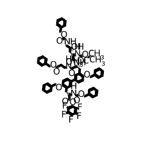 CC(C)(C)OC(=O)N[C@@H](C[C@@H](O)CNC(=O)OCc1ccccc1)C(=O)N[C@@H](Cc1cc(-c2ccc(OCc3ccccc3)c(C[C@H](NC(=O)OCc3ccccc3)C(=O)Oc3c(F)c(F)c(F)c(F)c3F)c2)ccc1OCc1ccccc1)C(=O)NCCC(=O)OCc1ccccc1